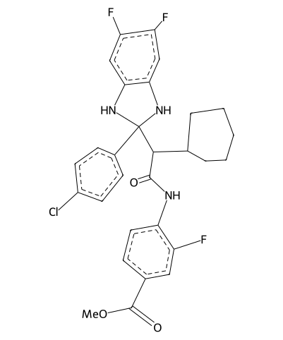 COC(=O)c1ccc(NC(=O)C(C2CCCCC2)C2(c3ccc(Cl)cc3)Nc3cc(F)c(F)cc3N2)c(F)c1